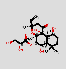 C=C[C@@]1(C)CC(=O)[C@]2(O)[C@@]3(C)[C@@H](O)CCC(C)(C)[C@@H]3[C@H](O)[C@H](OC(=O)[C@@H](O)CO)[C@@]2(C)O1